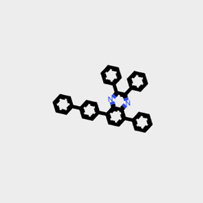 c1ccc(-c2ccc(-c3ccc(-c4ccccc4)c4nc(-c5ccccc5)c(-c5ccccc5)nc34)cc2)cc1